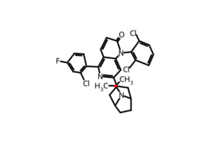 CC(C)N1C2CCC1CC(c1cc3c(ccc(=O)n3-c3c(Cl)cccc3Cl)c(-c3ccc(F)cc3Cl)n1)C2